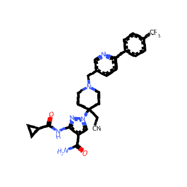 N#CCC1(n2cc(C(N)=O)c(NC(=O)C3CC3)n2)CCN(Cc2ccc(-c3ccc(C(F)(F)F)cc3)nc2)CC1